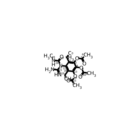 CCc1c(OC(C)=O)c(OC(C)=O)c(OC(C)=O)c(CC)c1N(C(=N)N)C(=O)NC